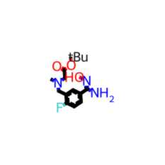 CN(CC(=O)OC(C)(C)C)Cc1cc(/C(N)=N\O)ccc1F